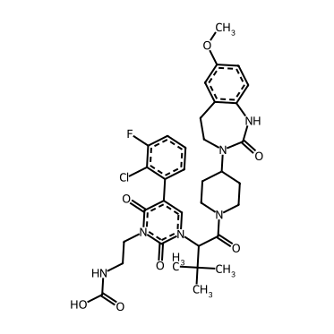 COc1ccc2c(c1)CCN(C1CCN(C(=O)C(n3cc(-c4cccc(F)c4Cl)c(=O)n(CCNC(=O)O)c3=O)C(C)(C)C)CC1)C(=O)N2